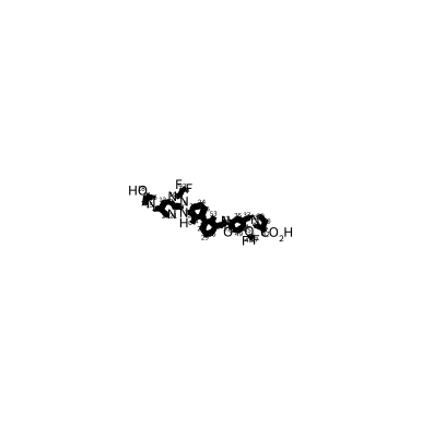 Cc1c(Nc2nc(C(F)F)nc3cc(CN4CC(O)C4)cnc23)cccc1-c1cccc(-c2nc3cc(CN4CCC(C(=O)O)C4)c(OC(F)F)cc3o2)c1C